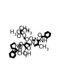 Cc1cn([C@@H]2O[C@H](CO)C(O[P@@]3O[C@](C)(c4ccccc4)[C@@H]4CCCN43)[C@@H]2OCOC(=O)C(C)(C)C)c(=O)nc1NC(=O)c1ccccc1